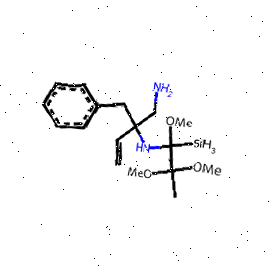 C=CC(CN)(Cc1ccccc1)NC([SiH3])(OC)C(C)(OC)OC